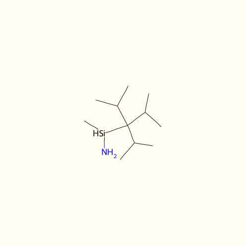 CC(C)C(C(C)C)(C(C)C)[SiH](C)N